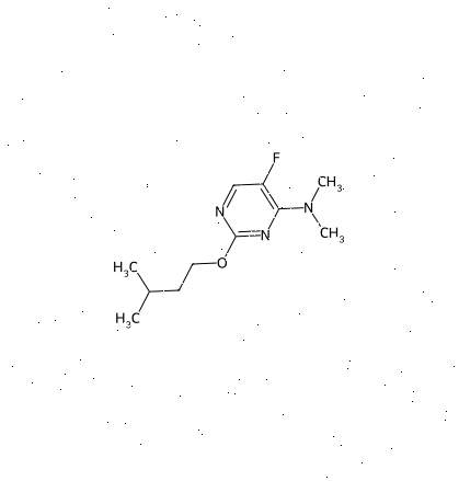 CC(C)CCOc1ncc(F)c(N(C)C)n1